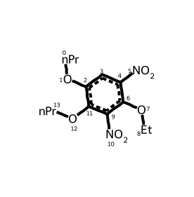 CCCOc1cc([N+](=O)[O-])c(OCC)c([N+](=O)[O-])c1OCCC